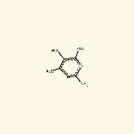 CC(=O)Oc1nc(N)nc(OC(C)=O)c1N